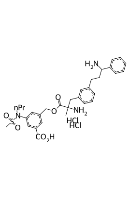 CCCN(c1cc(COC(=O)C(C)(N)Cc2cccc(CCC(N)c3ccccc3)c2)cc(C(=O)O)c1)S(C)(=O)=O.Cl.Cl